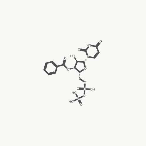 O=C(O[C@H]1[C@@H](O)[C@H](n2ccc(=O)[nH]c2=O)O[C@@H]1COP(=O)(O)OP(=O)(O)O)c1ccccc1